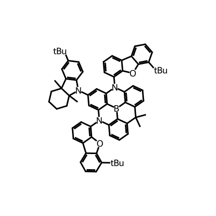 CC(C)(C)c1ccc2c(c1)C1(C)CCCCC1(C)N2c1cc2c3c(c1)N(c1cccc4c1oc1c(C(C)(C)C)cccc14)c1cccc4c1B3c1c(cccc1C4(C)C)N2c1cccc2c1oc1c(C(C)(C)C)cccc12